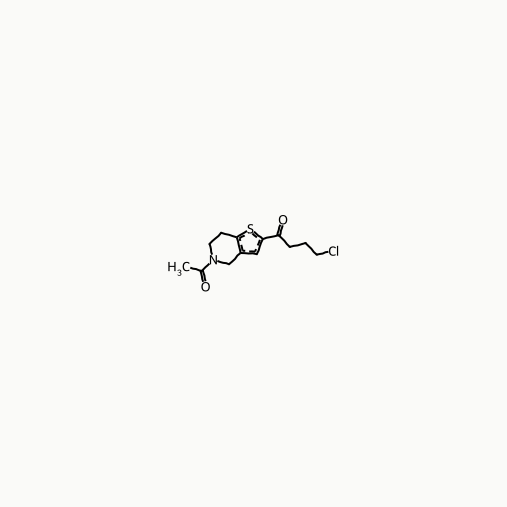 CC(=O)N1CCc2sc(C(=O)CCCCl)cc2C1